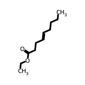 CCCCC=CCCC(=O)OCC